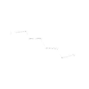 O=NCCCCCCS